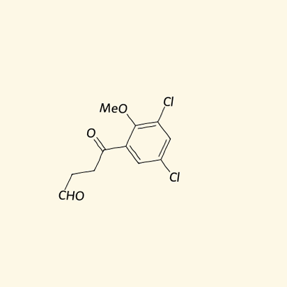 COc1c(Cl)cc(Cl)cc1C(=O)CCC=O